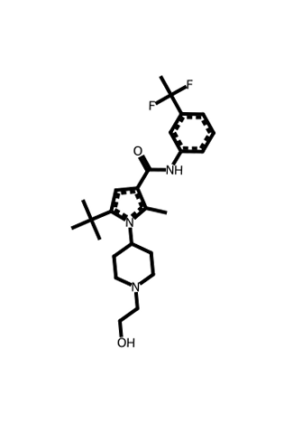 Cc1c(C(=O)Nc2cccc(C(C)(F)F)c2)cc(C(C)(C)C)n1C1CCN(CCO)CC1